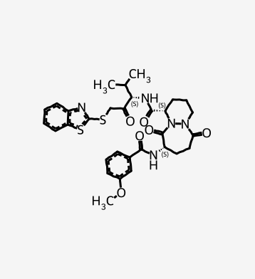 COc1cccc(C(=O)N[C@H]2CCC(=O)N3CCC[C@@H](C(=O)N[C@H](C(=O)CSc4nc5ccccc5s4)C(C)C)N3C2=O)c1